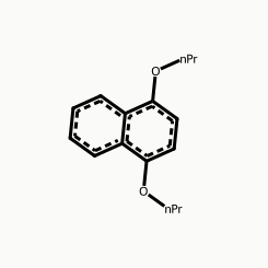 CCCOc1ccc(OCCC)c2ccccc12